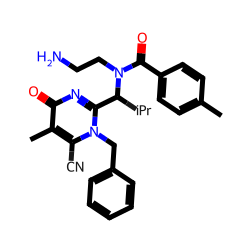 Cc1ccc(C(=O)N(CCN)C(c2nc(=O)c(C)c(C#N)n2Cc2ccccc2)C(C)C)cc1